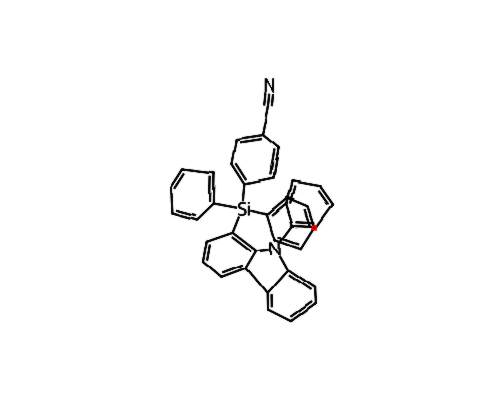 N#Cc1ccc([Si](c2ccccc2)(c2ccccc2)c2cccc3c4ccccc4n(-c4ccccc4)c23)cc1